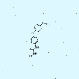 CCNC(=O)Nc1ccc(Oc2ccc(OC(F)(F)F)cc2)cc1